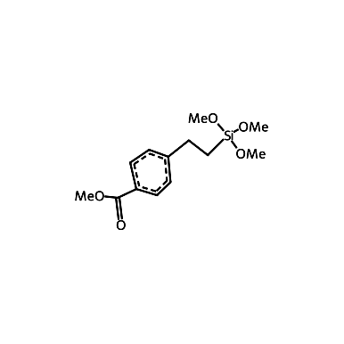 COC(=O)c1ccc(CC[Si](OC)(OC)OC)cc1